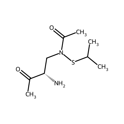 CC(=O)[C@@H](N)CN(SC(C)C)C(C)=O